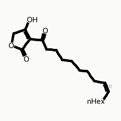 CCCCCC/C=C\CCCCCCCC(=O)C1=C(O)COC1=O